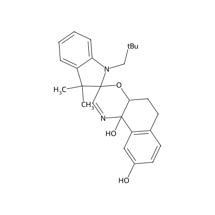 CC(C)(C)CN1c2ccccc2C(C)(C)C12C=NC1(O)c3cc(O)ccc3CCC1O2